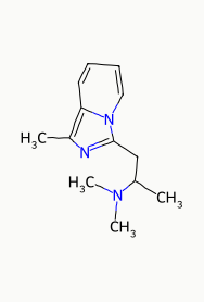 Cc1nc(CC(C)N(C)C)n2ccccc12